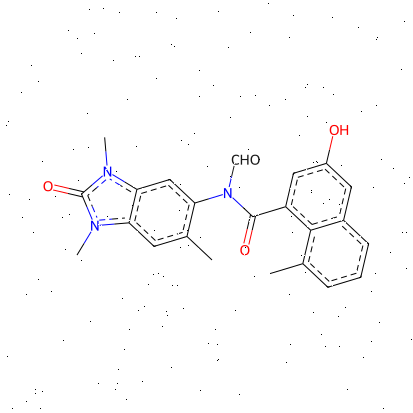 Cc1cc2c(cc1N(C=O)C(=O)c1cc(O)cc3cccc(C)c13)n(C)c(=O)n2C